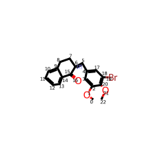 COc1cc(/C=C2/CCc3ccccc3C2=O)cc(Br)c1OC